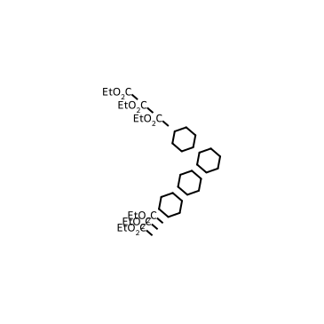 C1CCCCC1.C1CCCCC1.C1CCCCC1.C1CCCCC1.CCOC(C)=O.CCOC(C)=O.CCOC(C)=O.CCOC(C)=O.CCOC(C)=O.CCOC(C)=O